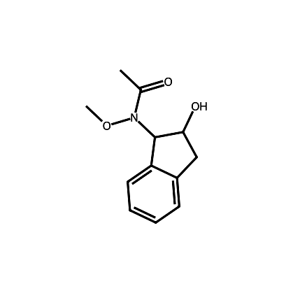 CON(C(C)=O)C1c2ccccc2CC1O